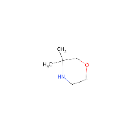 CC1(C)CO[CH]CN1